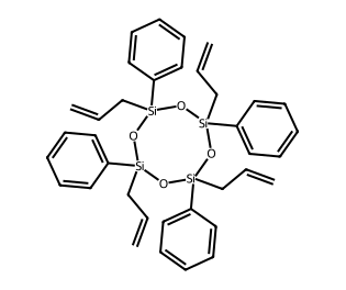 C=CC[Si]1(c2ccccc2)O[Si](CC=C)(c2ccccc2)O[Si](CC=C)(c2ccccc2)O[Si](CC=C)(c2ccccc2)O1